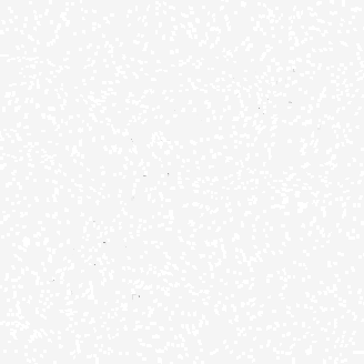 N#CC1(c2ccc(C3CN(C(=O)CC[C@@H]4COC(=O)N4)C3)cn2)CCC1